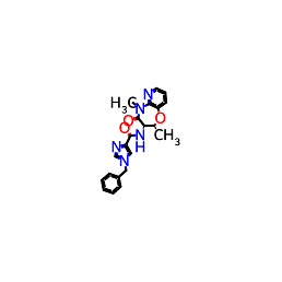 C[C@H]1Oc2cccnc2N(C)C(=O)[C@H]1NC(=O)c1cn(Cc2ccccc2)cn1